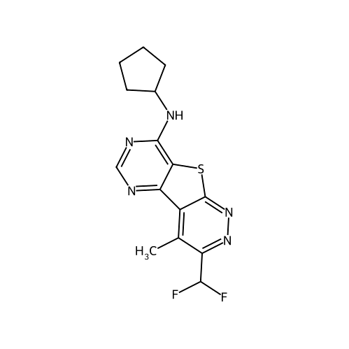 Cc1c(C(F)F)nnc2sc3c(NC4CCCC4)ncnc3c12